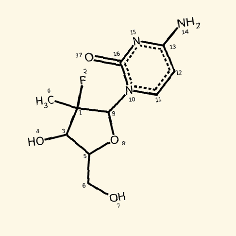 CC1(F)C(O)C(CO)OC1n1ccc(N)nc1=O